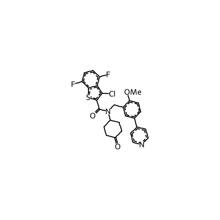 COc1ccc(-c2ccncc2)cc1CN(C(=O)c1sc2c(F)ccc(F)c2c1Cl)C1CCC(=O)CC1